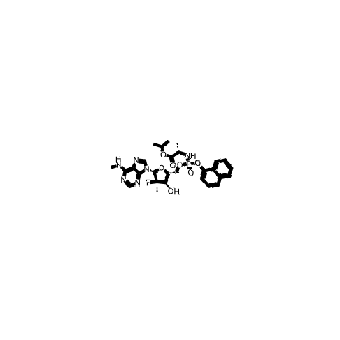 CNc1ncnc2c1ncn2[C@@H]1O[C@H](COP(=O)(N[C@@H](C)C(=O)OC(C)C)Oc2cccc3ccccc23)[C@@H](O)[C@@]1(C)F